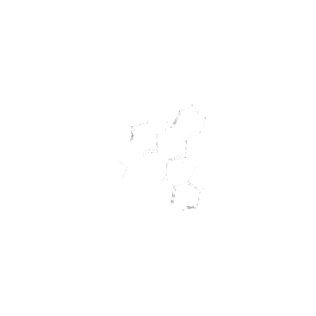 O=CCl.c1ccc2c(c1)Cc1c(c3ccccc3c3ccccc13)N2